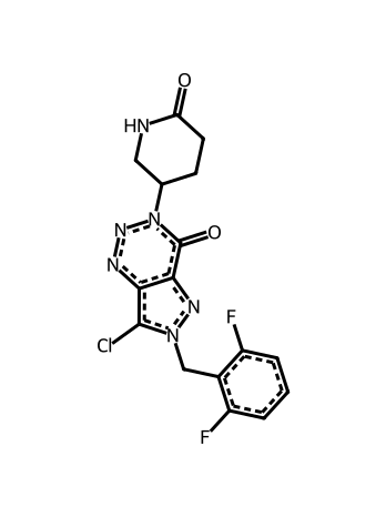 O=C1CCC(n2nnc3c(Cl)n(Cc4c(F)cccc4F)nc3c2=O)CN1